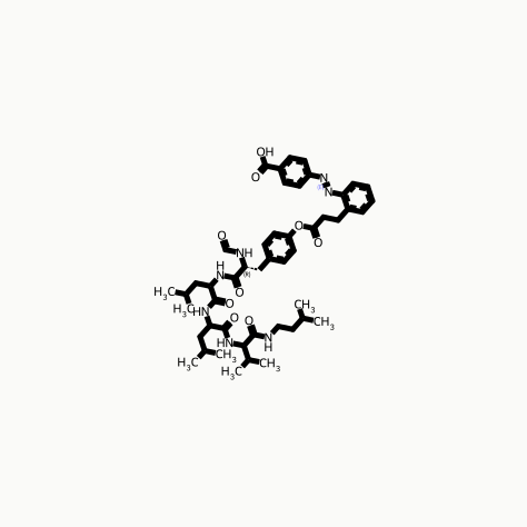 CC(C)CCNC(=O)C(NC(=O)C(CC(C)C)NC(=O)C(CC(C)C)NC(=O)[C@@H](Cc1ccc(OC(=O)CCc2ccccc2/N=N/c2ccc(C(=O)O)cc2)cc1)NC=O)C(C)C